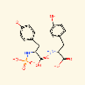 NC(Cc1ccc(O)cc1)C(=O)O.O=C(O)C(Cc1ccc(O)cc1)NP(=O)(O)O